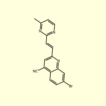 Cc1ccnc(/C=C/c2cc(C#N)c3ccc(Br)cc3n2)n1